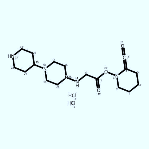 Cl.Cl.O=C=C1CCCCN1OC(=O)CNN1CCN(C2CCNCC2)CC1